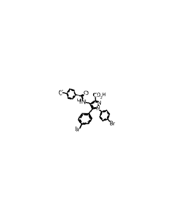 O=C(Nc1c(C(=O)O)nn(-c2ccc(Br)cc2)c1-c1ccc(Br)cc1)c1ccc(Cl)cc1